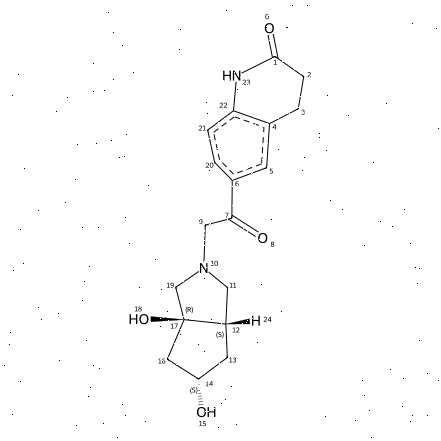 O=C1CCc2cc(C(=O)CN3C[C@@H]4C[C@H](O)C[C@]4(O)C3)ccc2N1